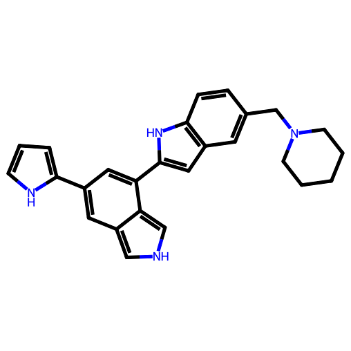 c1c[nH]c(-c2cc(-c3cc4cc(CN5CCCCC5)ccc4[nH]3)c3c[nH]cc3c2)c1